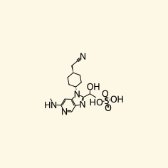 CNc1cc2c(cn1)nc(C(C)O)n2[C@H]1CC[C@H](CC#N)CC1.O=S(=O)(O)O